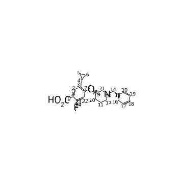 O=C(O)c1cc(C2CC2)c(O[C@@H]2CCCN(Cc3ccccc3)C2)cc1F